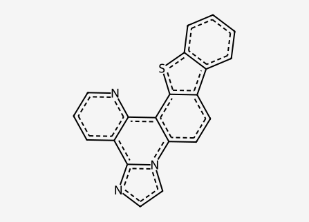 c1ccc2c(c1)sc1c2ccc2c1c1ncccc1c1nccn21